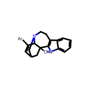 CC(=O)C1=CC2CN3CCc4c([nH]c5ccccc45)C(C=O)(C2)C13